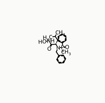 CC(C)C[C@H](C(=O)NO)N(Cc1ccccc1)[P@@](C)(=O)c1ccccc1